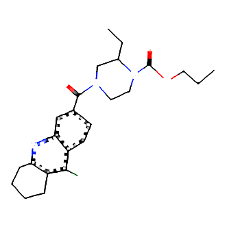 CCCOC(=O)N1CCN(C(=O)c2ccc3c(Cl)c4c(nc3c2)CCCC4)CC1CC